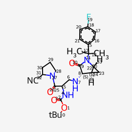 CC(C)(C)OC(=O)NC(CN[C@@H]1C(=O)N(C(C)(C)c2ccc(F)cc2)[C@@H]2C[C@@H]12)C(=O)N1CCCC1C#N